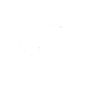 Cn1c(C(F)(F)F)ccc(C(=O)O)c1=O